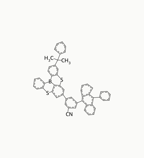 CC(C)(c1ccccc1)c1ccc2c(c1)Sc1cc(-c3cc(C#N)cc(-c4c5ccccc5c(-c5ccccc5)c5ccccc45)c3)cc3c1B2c1ccccc1S3